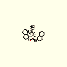 CCC1=Cc2ccc3ccccc3c2[CH]1[Hf]([CH3])([CH3])(=[SiH2])[CH]1C(CC)=Cc2ccc3ccccc3c21.Cl.Cl